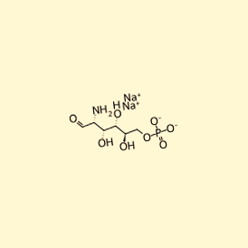 N[C@@H](C=O)[C@@H](O)[C@H](O)[C@H](O)COP(=O)([O-])[O-].[Na+].[Na+]